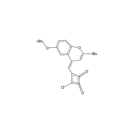 CCCCOc1ccc2c(c1)C(=Cc1c(Cl)c(=O)c1=O)C=C(C(C)(C)C)O2